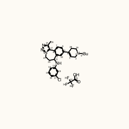 CCC(C)N1CC=C(c2ccc3c(c2)C(Nc2cccc(Cl)c2)CCn2nnc(C)c2-3)CC1.O=C(O)C(F)(F)F